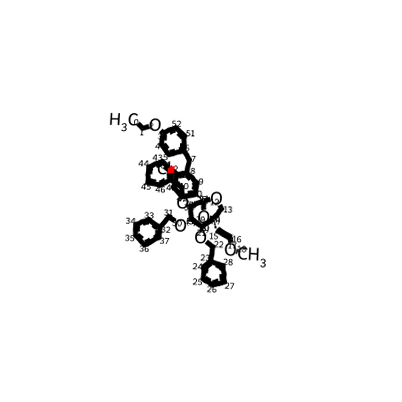 CCOc1ccc(Cc2cc([C@]34OC[C@](C=COC)(O3)[C@@H](OCc3ccccc3)[C@H](OCc3ccccc3)[C@H]4OCc3ccccc3)ccc2Cl)cc1